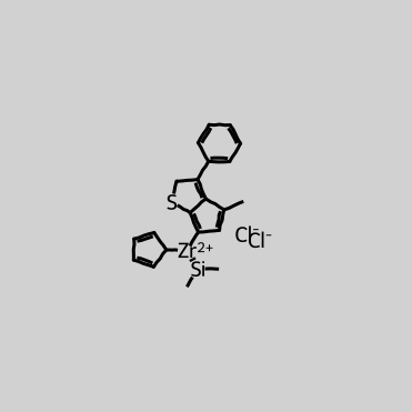 CC1=C[C]([Zr+2]([CH]2C=CC=C2)=[Si](C)C)=C2SCC(c3ccccc3)=C12.[Cl-].[Cl-]